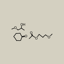 COCC(C)O.COCCCOC(C)=O.O=C1CCCCC1